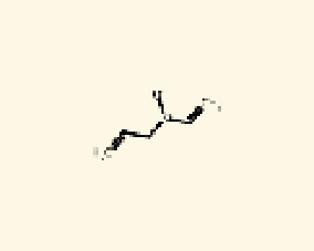 C=CC[S+]([O-])C=C